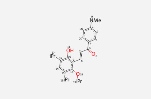 CNc1ccc(C(=O)/C=C/c2c(O)c(C(C)C)cc(C(C)C)c2OC(C)C)cc1